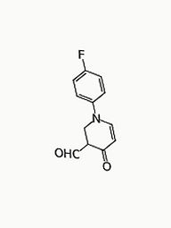 O=CC1CN(c2ccc(F)cc2)C=CC1=O